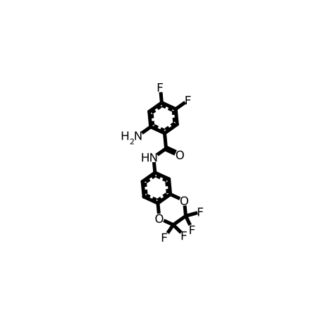 Nc1cc(F)c(F)cc1C(=O)Nc1ccc2c(c1)OC(F)(F)C(F)(F)O2